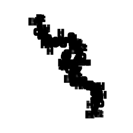 CCN(CC)CCNC(=O)c1c(C)[nH]c(/C=C2\C(=O)Nc3ccc(NC(=O)CCC(=O)C(I)(CC)OC(C)C(=O)C(CC)(CC)OCC(=O)N(C[C@@H](COc4nsnc4N4CCOCC4)OC(CC)(C(=O)C(C)OC(CC)(CC)C(=O)CCC(=O)Nc4ccc5c(c4)/C(=C/c4[nH]c(C)c(C(=O)NCCN(CC)CC)c4C)C(=O)N5)C4CC4)C(C)(C)C)cc32)c1C